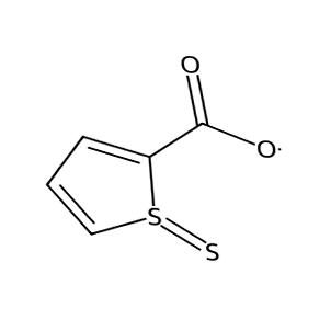 [O]C(=O)C1=CC=CS1=S